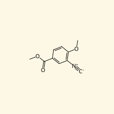 [C-]#[N+]c1cc(C(=O)OC)ccc1OC